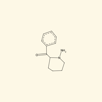 NN1CCCCC1C(=O)c1ccccc1